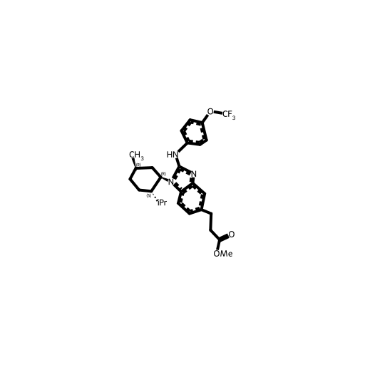 COC(=O)CCc1ccc2c(c1)nc(Nc1ccc(OC(F)(F)F)cc1)n2[C@@H]1C[C@H](C)CC[C@H]1C(C)C